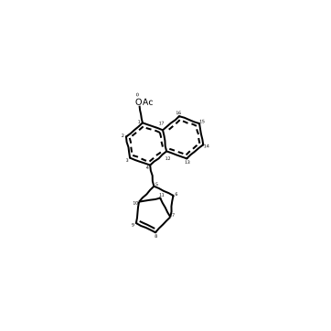 CC(=O)Oc1ccc(C2CC3C=CC2C3)c2ccccc12